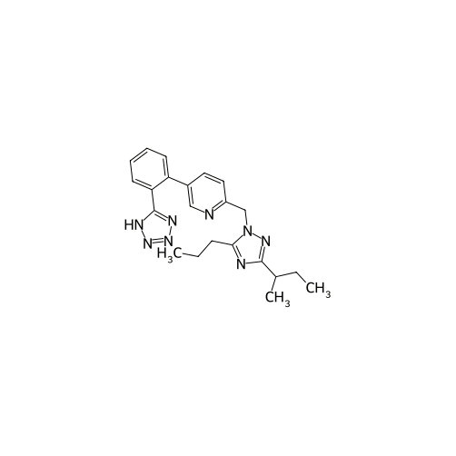 CCCc1nc(C(C)CC)nn1Cc1ccc(-c2ccccc2-c2nnn[nH]2)cn1